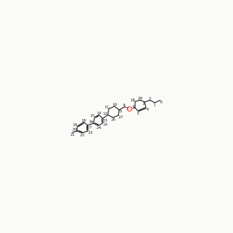 CCCC1C=CC(OCC2CCC(c3ccc(-c4ccc(C)cc4)cc3)CC2)CC1